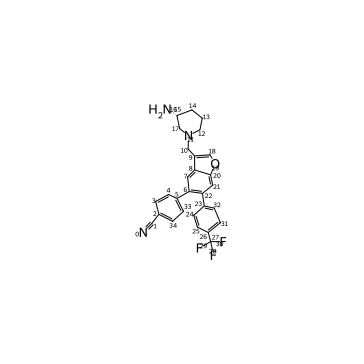 N#Cc1ccc(-c2cc3c(CN4CCC[C@@H](N)C4)coc3cc2-c2ccc(C(F)(F)F)cc2)cc1